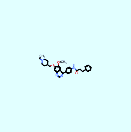 CCN1CCC(COc2cc3ncnc(-c4ccc(NC(=O)CCc5ccccc5)cc4)c3cc2OC)CC1